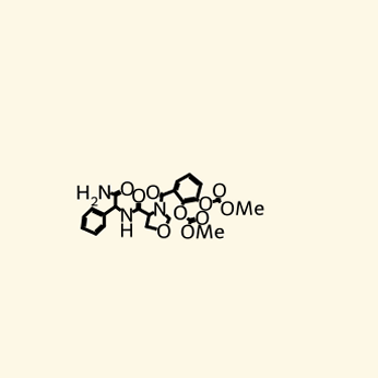 COC(=O)Oc1cccc(C(=O)N2COCC2C(=O)NC(C(N)=O)c2ccccc2)c1OC(=O)OC